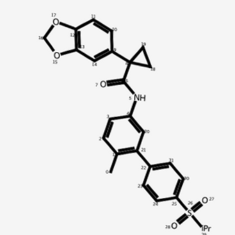 Cc1ccc(NC(=O)C2(c3ccc4c(c3)OCO4)CC2)cc1-c1ccc(S(=O)(=O)C(C)C)cc1